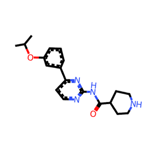 CC(C)Oc1cccc(-c2ccnc(NC(=O)C3CCNCC3)n2)c1